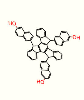 Oc1ccc2cc(C3c4ccccc4-c4c3c3c(c5c4C(c4ccc6cc(O)ccc6c4)c4ccccc4-5)C(c4ccc5cc(O)ccc5c4)c4ccccc4-3)ccc2c1